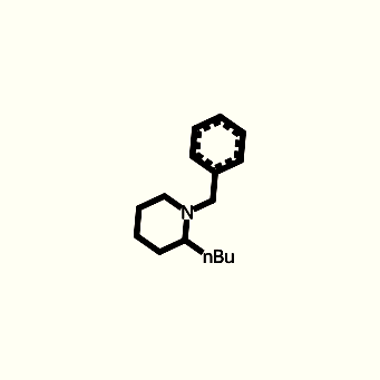 CCCCC1CCCCN1Cc1ccccc1